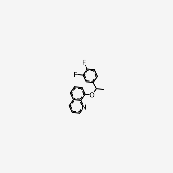 CC(Oc1cccc2cccnc12)c1ccc(F)c(F)c1